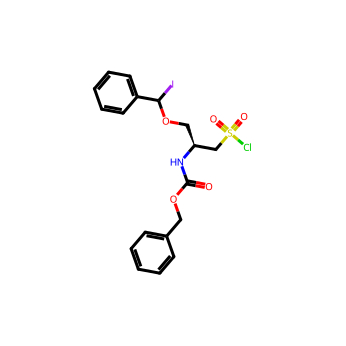 O=C(N[C@@H](COC(I)c1ccccc1)CS(=O)(=O)Cl)OCc1ccccc1